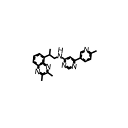 Cc1ccc(-c2cc(NCC(C)c3cccc4nc(C)c(C)nc34)ncn2)cn1